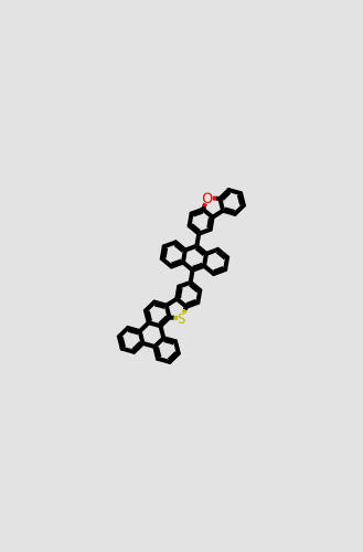 c1ccc2c(c1)oc1ccc(-c3c4ccccc4c(-c4ccc5sc6c(ccc7c8ccccc8c8ccccc8c76)c5c4)c4ccccc34)cc12